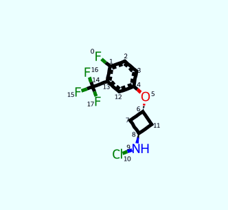 Fc1ccc(O[C@H]2C[C@H](NCl)C2)cc1C(F)(F)F